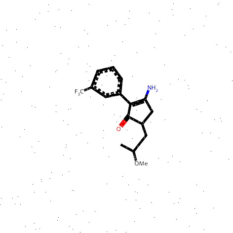 COC(C)CC1CC(N)=C(c2cccc(C(F)(F)F)c2)C1=O